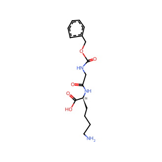 NCCCC[C@H](NC(=O)CNC(=O)OCc1ccccc1)C(=O)O